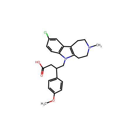 COc1ccc(C(CC(=O)O)Cn2c3c(c4cc(Cl)ccc42)CCN(C)CC3)cc1